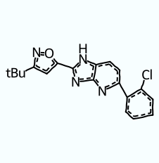 CC(C)(C)c1cc(-c2nc3nc(-c4ccccc4Cl)ccc3[nH]2)on1